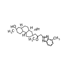 CCC[C@H]1[C@@H]2CC[C@@H]3C[C@](C)(O)CCC3[C@H]2CC[C@]1(C)CC(=O)Cn1nc2cccc(C)c2n1